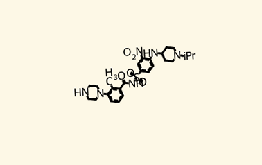 Cc1c(C(=O)NS(=O)(=O)c2ccc(NC3CCN(C(C)C)CC3)c([N+](=O)[O-])c2)cccc1N1CCNCC1